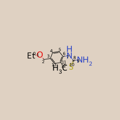 CCOCc1ccc(NC(N)=S)c(C)c1